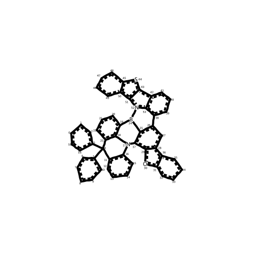 c1ccc(C2(c3ccccc3)c3ccccc3N3c4c(cccc42)B2c4c(cc5c(oc6ccccc65)c43)-c3cccc4c5sc6ccccc6c5n2c34)cc1